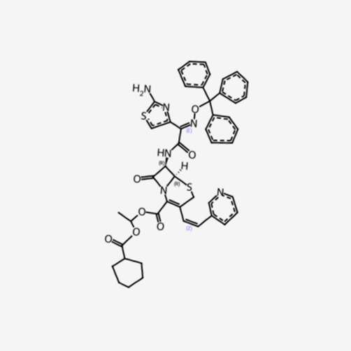 CC(OC(=O)C1=C(/C=C\c2cccnc2)CS[C@@H]2[C@H](NC(=O)/C(=N/OC(c3ccccc3)(c3ccccc3)c3ccccc3)c3csc(N)n3)C(=O)N12)OC(=O)C1CCCCC1